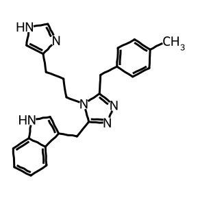 Cc1ccc(Cc2nnc(Cc3c[nH]c4ccccc34)n2CCCc2c[nH]cn2)cc1